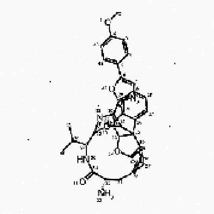 COc1ccc(-c2cnc(-c3nc4oc3C35c6ccccc6NC3Oc3ccc(cc35)C[C@H](N)C(=O)N[C@H]4C(C)C)o2)cc1